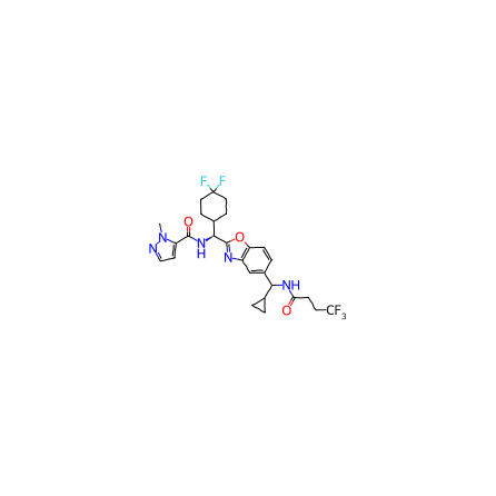 Cn1nccc1C(=O)N[C@H](c1nc2cc(C(NC(=O)CCC(F)(F)F)C3CC3)ccc2o1)C1CCC(F)(F)CC1